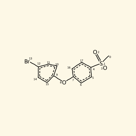 CS(=O)(=O)c1ccc(Oc2ccc(Br)cc2)cc1